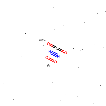 N#N.O=C=O.O=O.[13Fe].[Ar]